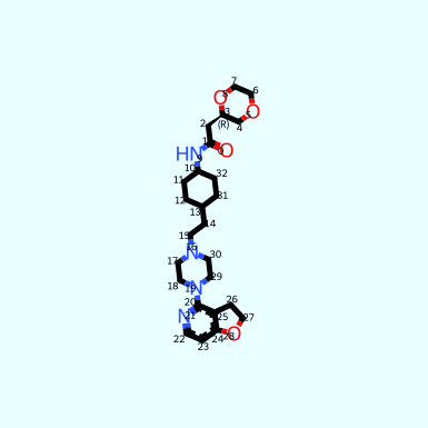 O=C(C[C@@H]1COCCO1)NC1CCC(CCN2CCN(c3nccc4c3CCO4)CC2)CC1